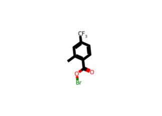 Cc1cc(C(F)(F)F)ccc1C(=O)OBr